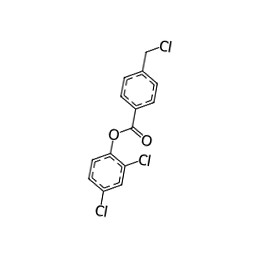 O=C(Oc1ccc(Cl)cc1Cl)c1ccc(CCl)cc1